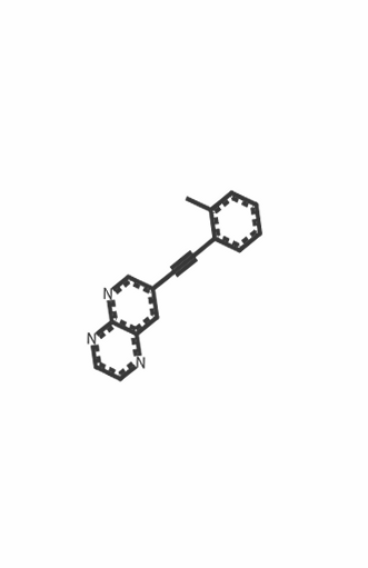 Cc1ccccc1C#Cc1cnc2nccnc2c1